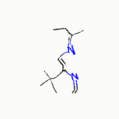 C=N/C(=C\N=C(C)C)C(C)(C)C